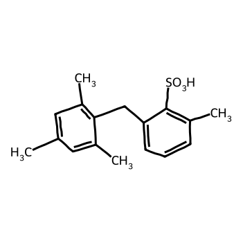 Cc1cc(C)c(Cc2cccc(C)c2S(=O)(=O)O)c(C)c1